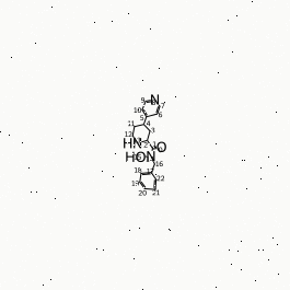 O=C(C1CC(c2ccncc2)CCN1)N(O)Cc1ccccc1